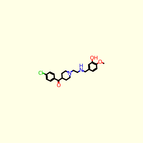 COc1ccc(CNCCN2CCC(C(=O)c3ccc(Cl)cc3)CC2)cc1O